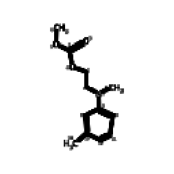 COC(=O)OCCN(C)c1cccc(C)c1